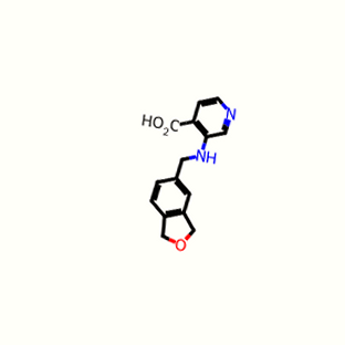 O=C(O)c1ccncc1NCc1ccc2c(c1)COC2